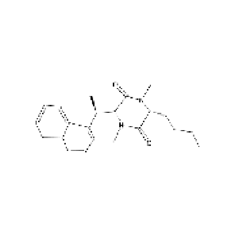 CCCC[C@@H]1C(=O)N(C)[C@H]([C@H](C)c2cccc3ccccc23)C(=O)N1C